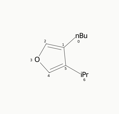 CCCCc1cocc1C(C)C